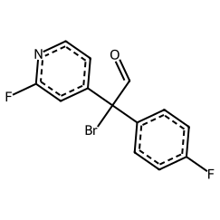 O=CC(Br)(c1ccc(F)cc1)c1ccnc(F)c1